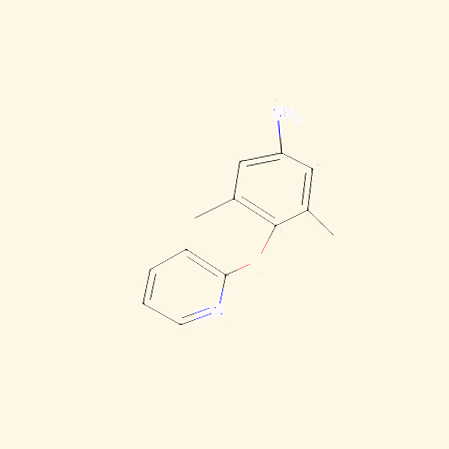 Cc1cc(N)cc(C)c1Oc1ccccn1